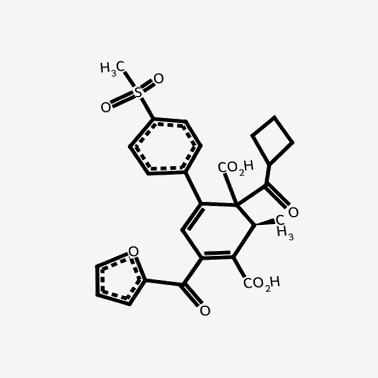 C[C@H]1C(C(=O)O)=C(C(=O)c2ccco2)C=C(c2ccc(S(C)(=O)=O)cc2)C1(C(=O)O)C(=O)C1CCC1